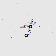 CN(c1ccc(S(=O)(=O)Nc2cscn2)c(F)c1Cl)C1CCN(Cc2ccccc2)C1.O=C(O)C(F)(F)F